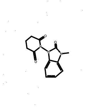 Cn1c(=O)n(N2C(=O)CCCC2=O)c2ccccc21